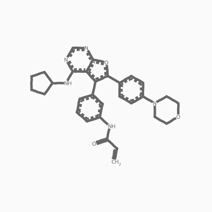 C=CC(=O)Nc1cccc(-c2c(-c3ccc(N4CCOCC4)cc3)oc3ncnc(NC4CCCC4)c23)c1